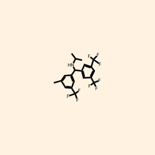 Cc1cc(C(NC(C)C)c2cc(C(F)(F)F)cc(C(F)(F)F)c2)cc(C(F)(F)F)c1